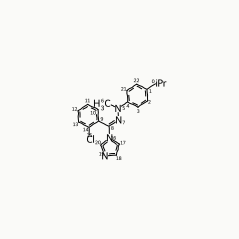 CC(C)c1ccc(N(C)/N=C(\c2ccccc2Cl)n2ccnc2)cc1